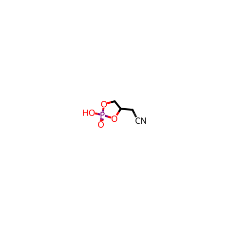 N#CCC1COP(=O)(O)O1